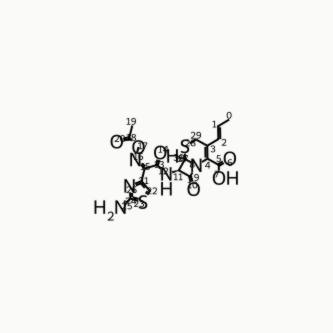 C/C=C/C1=C(C(=O)O)N2C(=O)[C@@H](NC(=O)/C(=N\OC(C)=O)c3csc(N)n3)[C@@H]2SC1